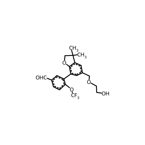 CC1(C)COc2c(-c3cc(C=O)ccc3OC(F)(F)F)cc(COCCO)cc21